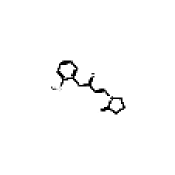 CSc1ccccc1CC(=O)C=CN1CCCC1=O